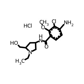 CCN1CC(NC(=O)c2ccc(N)c(Cl)c2OC)CC1CO.Cl